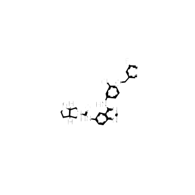 CN1CC[C@H]2CN(C(=O)Nc3ccc4ncnc(Nc5ccc(OCc6cccc(F)c6)c(Cl)c5)c4c3)C[C@H]21